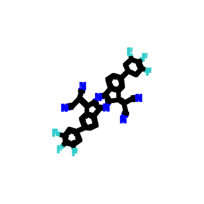 N#CC(C#N)=C1c2cc(-c3cc(F)c(F)c(F)c3)ccc2-c2nc3c(nc21)-c1ccc(C2CC(F)=C(F)C(F)C2)cc1C3=C(C#N)C#N